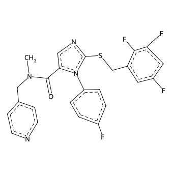 CN(Cc1ccncc1)C(=O)c1cnc(SCc2cc(F)cc(F)c2F)n1-c1ccc(F)cc1